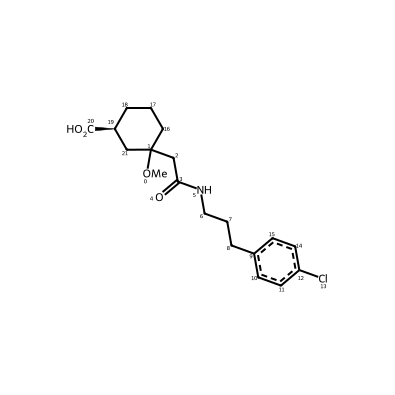 COC1(CC(=O)NCCCc2ccc(Cl)cc2)CCC[C@H](C(=O)O)C1